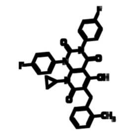 Cc1ccccc1Cc1c(O)c2c(=O)n(-c3ccc(F)cc3)c(=O)n(-c3ccc(F)cc3)c2n(C2CC2)c1=O